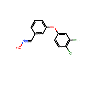 ON=Cc1cccc(Oc2ccc(Cl)c(Cl)c2)c1